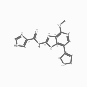 COc1ncc(C2=CCOC2)c2sc(NC(=O)c3c[nH]cn3)nc12